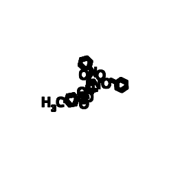 Cc1ccc(S(=O)(=O)O[C@@H]2C[C@@H](c3nc4ccccc4o3)N(C(=O)OCc3ccccc3)C2)cc1